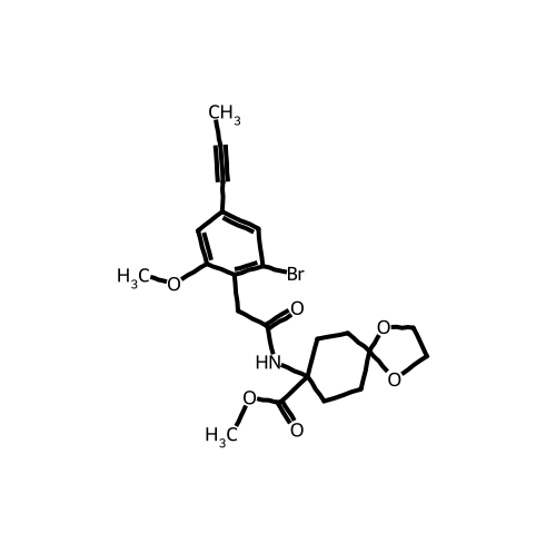 CC#Cc1cc(Br)c(CC(=O)NC2(C(=O)OC)CCC3(CC2)OCCO3)c(OC)c1